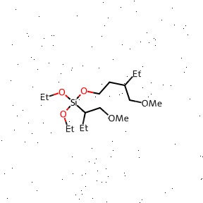 CCO[Si](OCC)(OCCC(CC)COC)C(CC)COC